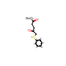 COC(=O)CCC(=O)CSc1ccccc1